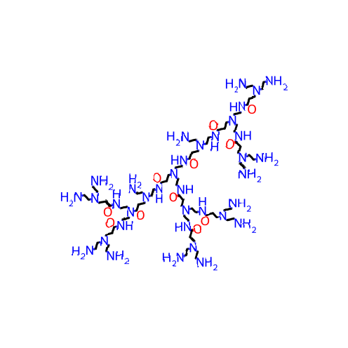 NCCN(CCN)CCC(=O)NCCN(CCNC(=O)CCN(CCN)CCN)CCC(=O)NCCN(CCN)CCC(=O)NCCN(CCNC(=O)CCN(CCNC(=O)CCN(CCN)CCN)CCNC(=O)CCN(CCN)CCN)CCC(=O)NCCN(CCN)CCC(=O)N(CCNC(=O)CCN(CCN)CCN)CCNC(=O)CCN(CCN)CCN